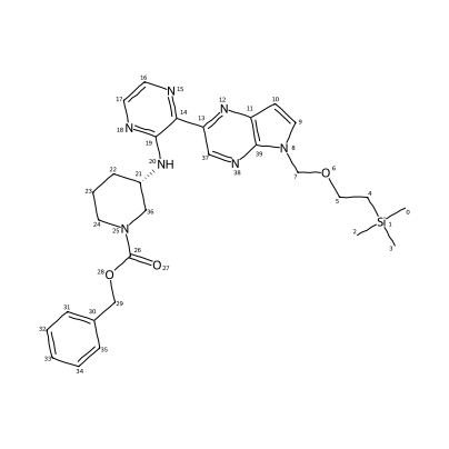 C[Si](C)(C)CCOCn1ccc2nc(-c3nccnc3N[C@H]3CCCN(C(=O)OCc4ccccc4)C3)cnc21